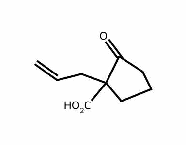 C=CCC1(C(=O)O)CCCC1=O